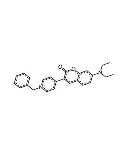 CCN(CC)c1ccc2cc(-c3cc[n+](Cc4ccccc4)cc3)c(=O)oc2c1